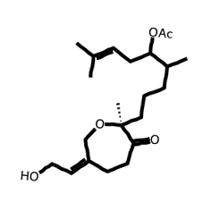 CC(=O)OC(CC=C(C)C)C(C)CCC[C@]1(C)OCC(=CCO)CCC1=O